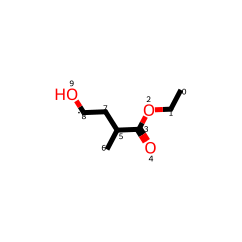 CCOC(=O)C(C)C[CH]O